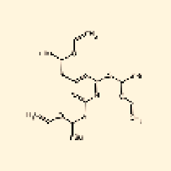 C=COC(CCCC)Sc1cc(SC(CCCC)OC=C)nc(SC(CCCC)OC=C)n1